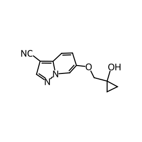 N#Cc1cnn2cc(OCC3(O)CC3)ccc12